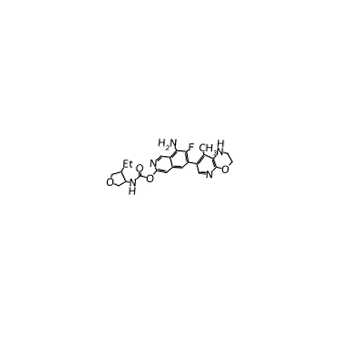 CCC1COCC1NC(=O)Oc1cc2cc(-c3cnc4c(c3C)NCCO4)c(F)c(N)c2cn1